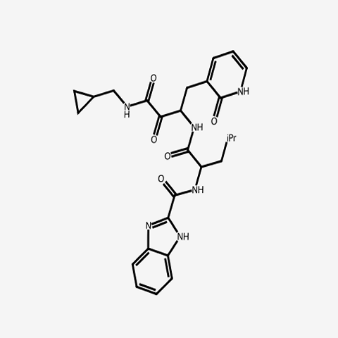 CC(C)CC(NC(=O)c1nc2ccccc2[nH]1)C(=O)NC(Cc1ccc[nH]c1=O)C(=O)C(=O)NCC1CC1